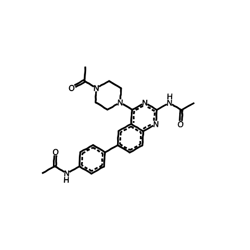 CC(=O)Nc1ccc(-c2ccc3nc(NC(C)=O)nc(N4CCN(C(C)=O)CC4)c3c2)cc1